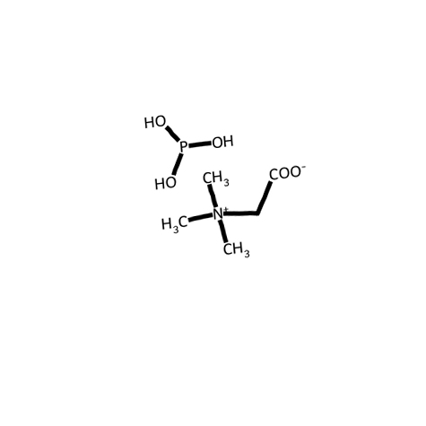 C[N+](C)(C)CC(=O)[O-].OP(O)O